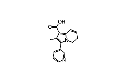 Cc1c(C(=O)O)c2n(c1-c1cccnc1)CCC=C2